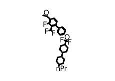 CCCC1CCC(C2CCC(C(F)(F)Oc3ccc(-c4ccc(C5CO5)c(F)c4C(F)F)cc3)CC2)CC1